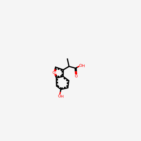 CC(C(=O)O)c1coc2cc(O)ccc12